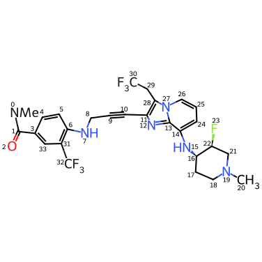 CNC(=O)c1ccc(NCC#Cc2nc3c(N[C@@H]4CCN(C)C[C@@H]4F)cccn3c2CC(F)(F)F)c(C(F)(F)F)c1